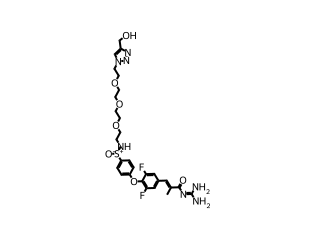 C/C(=C\c1cc(F)c(Oc2ccc([S+]([O-])NCCOCCOCCOCCn3cc(CO)nn3)cc2)c(F)c1)C(=O)N=C(N)N